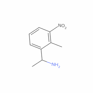 Cc1c(C(C)N)cccc1[N+](=O)[O-]